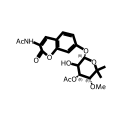 CO[C@@H]1[C@H](OC(C)=O)C(O)[C@H](Oc2ccc3cc(NC(C)=O)c(=O)oc3c2)OC1(C)C